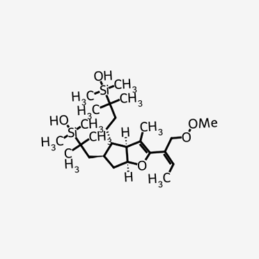 C/C=C(/COOC)C1=C(C)[C@@H]2[C@@H](CCC(C)(C)[Si](C)(C)O)[C@H](CC(C)(C)[Si](C)(C)O)C[C@@H]2O1